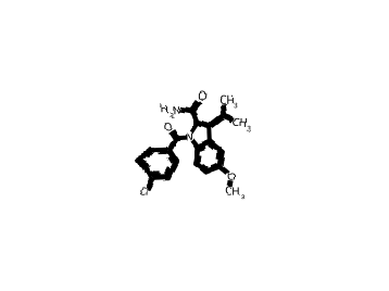 COc1ccc2c(c1)C(=C(C)C)C(C(N)=O)N2C(=O)c1ccc(Cl)cc1